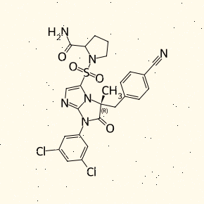 C[C@@]1(Cc2ccc(C#N)cc2)C(=O)N(c2cc(Cl)cc(Cl)c2)c2ncc(S(=O)(=O)N3CCCC3C(N)=O)n21